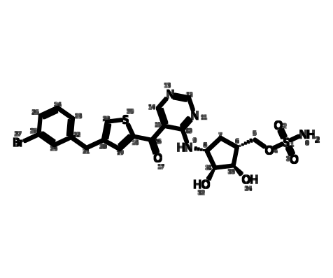 NS(=O)(=O)OC[C@H]1C[C@@H](Nc2ncncc2C(=O)c2cc(Cc3cccc(Br)c3)cs2)[C@H](O)[C@@H]1O